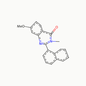 COc1ccc2c(=O)n(C)c(-c3cccc4ccccc34)nc2c1